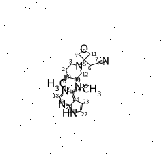 C[C@@H]1CCN(C2(CC#N)COC2)C[C@@H]1N(C)c1ncnc2[nH]ccc12